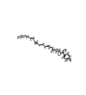 CCCCCCCCCC=CC=CC=CC=CC=CC=CC(=O)NCCOC(=O)c1ccc(F)cc1